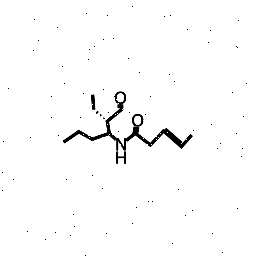 CC=CCC(=O)NC(CCC)[C@@H](C=O)CC